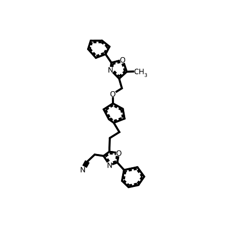 Cc1oc(-c2ccccc2)nc1COc1ccc(CCc2oc(-c3ccccc3)nc2CC#N)cc1